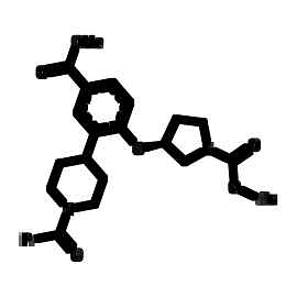 COC(=O)c1ccc(O[C@H]2CCN(C(=O)OC(C)(C)C)C2)c(C2CCN(C(=O)C(C)C)CC2)c1